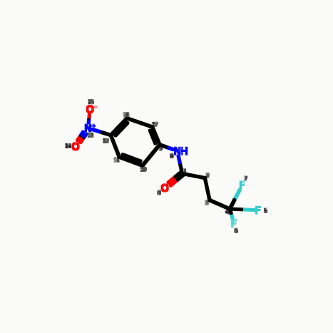 O=C(CCC(F)(F)F)Nc1ccc([N+](=O)[O-])cc1